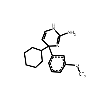 NC1=NC(c2cccc(OC(F)(F)F)c2)(C2CCCCC2)C=CN1